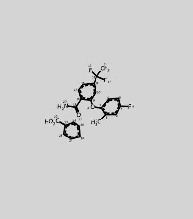 Cc1cc(F)ccc1Oc1cc(C(F)(F)C(F)(F)F)ccc1C(N)=O.O=C(O)c1ccccc1